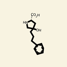 O=C(O)[C@@H]1CC(O)(CCCc2ccccc2)CN1